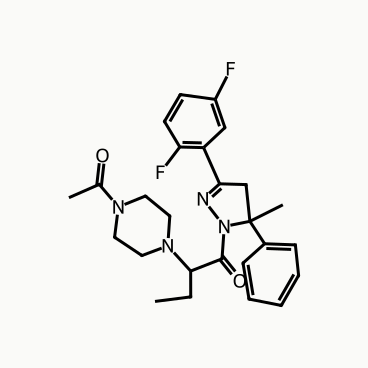 CCC(C(=O)N1N=C(c2cc(F)ccc2F)CC1(C)c1ccccc1)N1CCN(C(C)=O)CC1